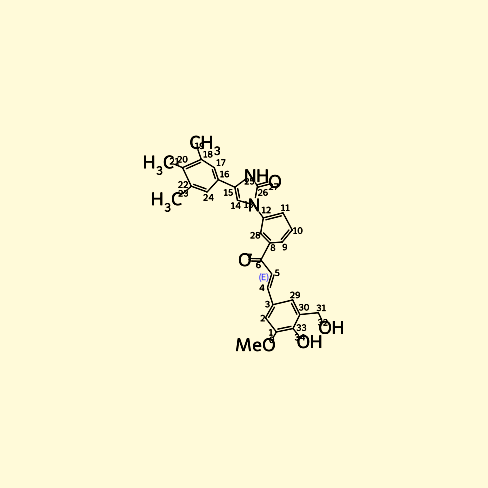 COc1cc(/C=C/C(=O)c2cccc(-n3cc(-c4cc(C)c(C)c(C)c4)[nH]c3=O)c2)cc(CO)c1O